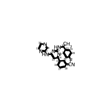 C[C@H](Nc1nc(Nc2cnccn2)cc(-c2cccc(C#N)c2)n1)c1ccc(F)cc1